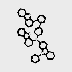 C1=Cc2c(c3ccc(N(C4=c5oc6ccccc6c5=CCC4)C4C=CC(c5ccccc5-c5cccc6c5sc5ccccc56)=CC4)cc3n2-c2ccccc2)CC1